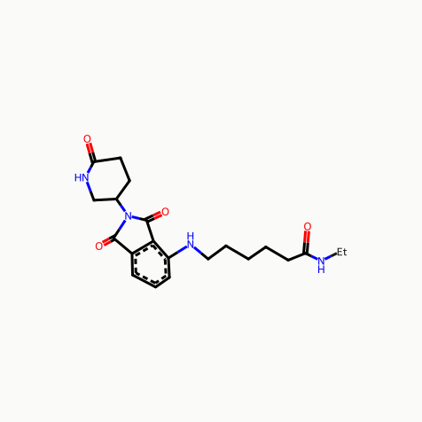 CCNC(=O)CCCCCNc1cccc2c1C(=O)N(C1CCC(=O)NC1)C2=O